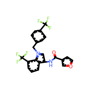 O=C(Nc1cn(Cc2ccc(C(F)(F)F)cc2)c2c(C(F)(F)F)cccc12)c1ccoc1